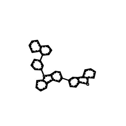 c1cc(-c2cccc3ccccc23)cc(-n2c3ccccc3c3cc(-c4ccc5oc6ccccc6c5c4)ccc32)c1